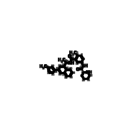 Cc1ccc(NC(=O)[C@H]2CCCCN2)cc1C(=O)NC(C)c1cc(-c2cnn(C)c2)cc2ccccc12